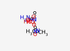 Cc1cc(=O)n(C)c(-c2ccc(OCC(O)CNCC(Cc3ccccc3)Oc3ccc(O)c(C(N)=O)c3)cc2)n1